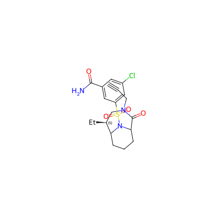 C#CCN1C[C@H](CC)C2CCCC(C1=O)N2S(=O)(=O)c1cc(Cl)cc(C(N)=O)c1